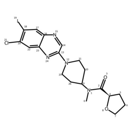 CN(C(=O)[C@H]1CCCO1)C1CCN(c2cnc3cc(I)c(Cl)cc3n2)CC1